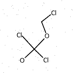 [O]C(Cl)(Cl)OCCl